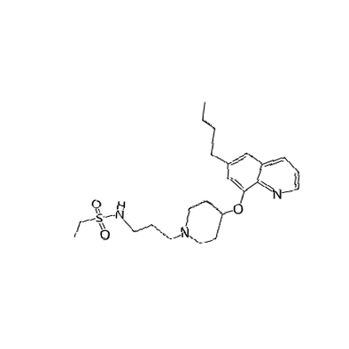 CCCCc1cc(OC2CCN(CCCNS(=O)(=O)CC)CC2)c2ncccc2c1